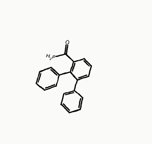 O=C(P)c1cccc(-c2ccccc2)c1-c1ccccc1